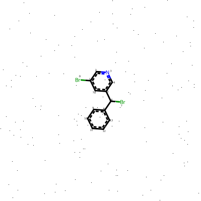 Brc1cncc(C(Br)c2ccccc2)c1